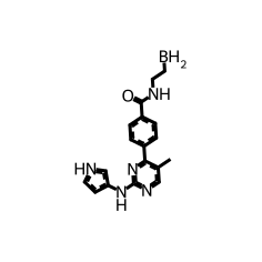 BCCNC(=O)c1ccc(-c2nc(Nc3cc[nH]c3)ncc2C)cc1